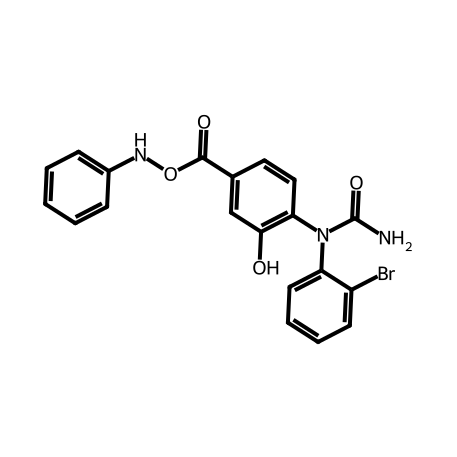 NC(=O)N(c1ccc(C(=O)ONc2ccccc2)cc1O)c1ccccc1Br